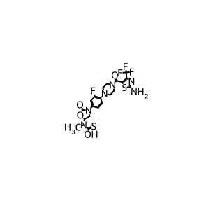 CN(C(O)=S)C1CN(c2ccc(N3CCN(C(=O)c4sc(N)nc4C(F)(F)F)CC3)c(F)c2)C(=O)O1